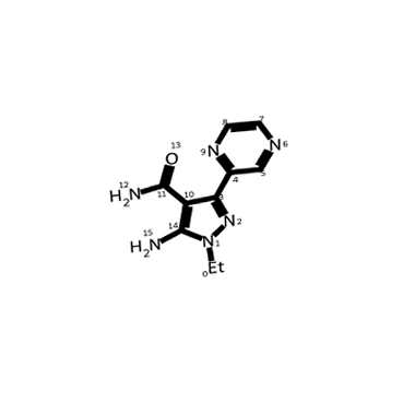 CCn1nc(-c2cnccn2)c(C(N)=O)c1N